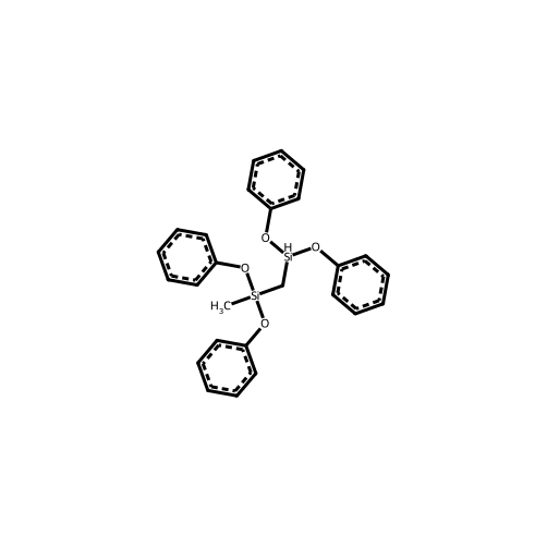 C[Si](C[SiH](Oc1ccccc1)Oc1ccccc1)(Oc1ccccc1)Oc1ccccc1